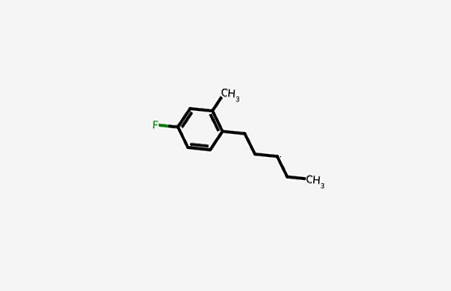 CC[CH]CCc1ccc(F)cc1C